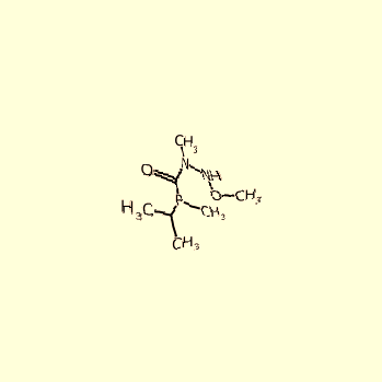 CONN(C)C(=O)P(C)C(C)C